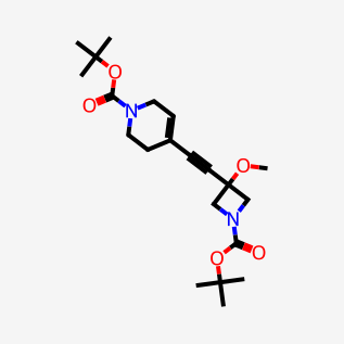 COC1(C#CC2=CCN(C(=O)OC(C)(C)C)CC2)CN(C(=O)OC(C)(C)C)C1